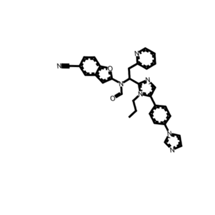 CCCn1c(-c2ccc(-n3ccnc3)cc2)cnc1C(Cc1ccccn1)N(C=O)c1cc2cc(C#N)ccc2o1